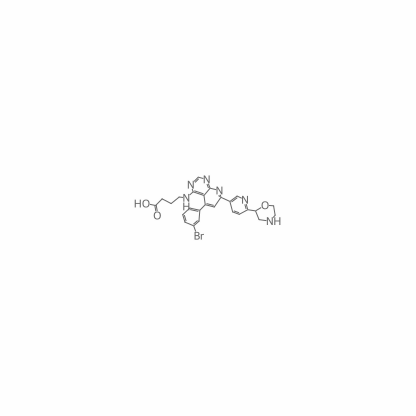 O=C(O)CCCNc1ncnc2nc(-c3ccc(C4CNCCO4)nc3)cc(-c3cccc(Br)c3)c12